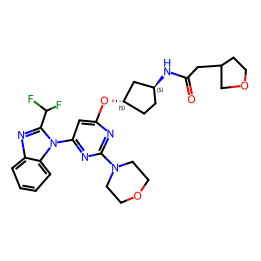 O=C(CC1CCOC1)N[C@H]1CC[C@H](Oc2cc(-n3c(C(F)F)nc4ccccc43)nc(N3CCOCC3)n2)C1